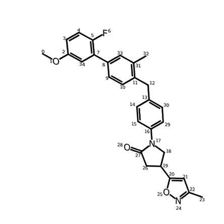 COc1ccc(F)c(-c2ccc(Cc3ccc(N4CC(c5cc(C)no5)CC4=O)cc3)c(C)c2)c1